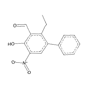 CCc1c(-c2ccccc2)cc([N+](=O)[O-])c(O)c1C=O